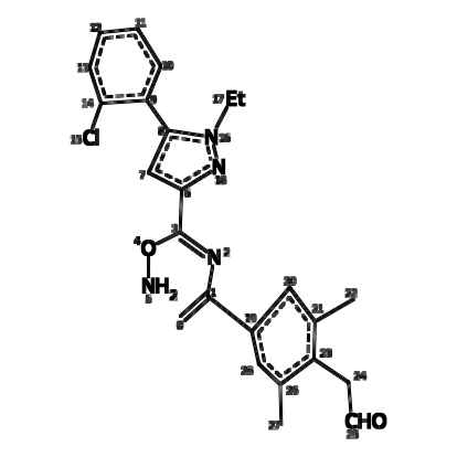 C=C(/N=C(\ON)c1cc(-c2ccccc2Cl)n(CC)n1)c1cc(C)c(CC=O)c(C)c1